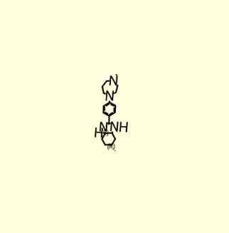 C[C@@H]1CC[C@@H]2N=C(c3ccc(N4CCCN(C)CC4)cc3)NC2C1